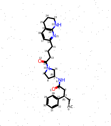 CC(=O)C[C@H](CC(=O)N[C@@H]1CCN(C(=O)CCCc2ccc3c(n2)NCCC3)C1)c1ccccc1